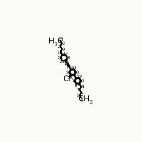 CCCCCc1ccc(-c2ccc(C#CC3CCC(CCCCC)CC3)cc2Cl)cc1